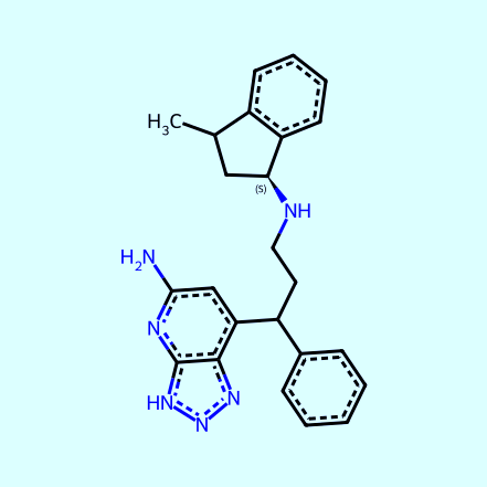 CC1C[C@H](NCCC(c2ccccc2)c2cc(N)nc3[nH]nnc23)c2ccccc21